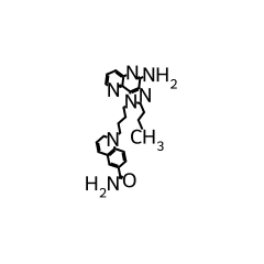 CCCCc1nc2c(N)nc3cccnc3c2n1CCCCN1CC=Cc2cc(C(N)=O)ccc21